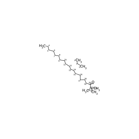 CCC.CCCCCCCCCCCCCCCCCC(=O)[N+](C)(C)C